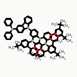 CC(C)(C)c1cc(-c2ccc3c(c2)N(c2c(-c4ccccc4)cc(C(C)(C)C)cc2-c2ccccc2)c2cc(C(C)(C)C)cc4c2B3c2ccc(-n3c5ccccc5c5cc(N(c6ccccc6)c6ccccc6)ccc53)cc2N4c2ccc(C(C)(C)C)cc2-c2ccccc2)cc(C(C)(C)C)c1